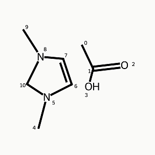 CC(=O)O.CN1C=CN(C)C1